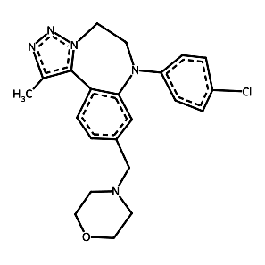 Cc1nnn2c1-c1ccc(CN3CCOCC3)cc1N(c1ccc(Cl)cc1)CC2